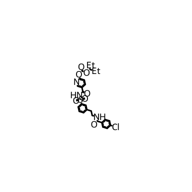 CCC(CC)OC(=O)Oc1ccc(C(=O)NS(=O)(=O)c2cccc(CCNC(=O)c3ccc(Cl)cc3)c2)cn1